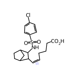 O=C(O)CCC/C=C\C1C2CCC(C2)C1NS(=O)(=O)c1ccc(Cl)cc1